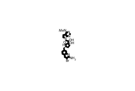 CNc1ncnc2c1ccn2[C@@H]1O[C@@H]2[C@H](Cc3ccc4cc(Br)c(N)nc4c3)CC[C@]2(O)C1O